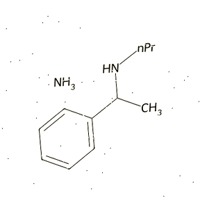 CCCNC(C)c1ccccc1.N